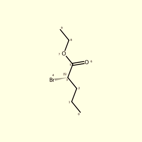 CCC[C@H](Br)C(=O)OCC